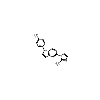 [CH2]c1ccc(-n2ccc3cc(-n4ccnc4C)ccc32)cc1